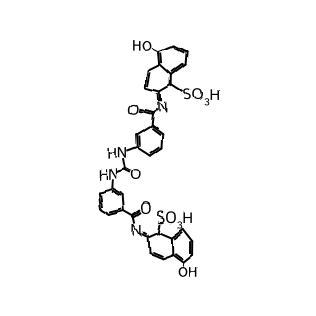 O=C(Nc1cccc(C(=O)N=C2C=Cc3c(O)cccc3C2S(=O)(=O)O)c1)Nc1cccc(C(=O)N=C2C=Cc3c(O)cccc3C2S(=O)(=O)O)c1